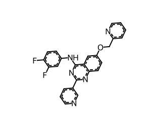 Fc1ccc(Nc2nc(-c3cccnc3)nc3ccc(OCc4ccccn4)cc23)cc1F